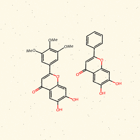 COc1cc(-c2cc(=O)c3cc(O)c(O)cc3o2)cc(OC)c1OC.O=c1cc(-c2ccccc2)oc2cc(O)c(O)cc12